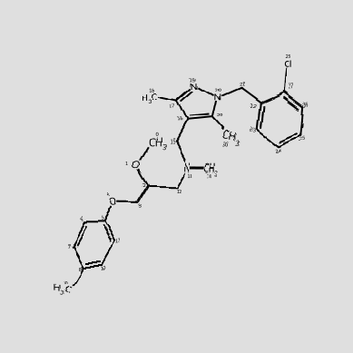 COC(COc1ccc(C)cc1)CN(C)Cc1c(C)nn(Cc2ccccc2Cl)c1C